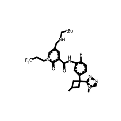 CC1CC(c2ccc(F)c(NC(=O)c3cc(CNCC(C)(C)C)cn(CCC(F)(F)F)c3=O)c2)(c2nncn2C)C1